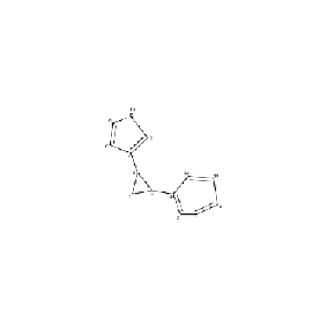 c1ccc(C2CC2c2ccsc2)cc1